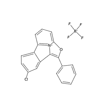 Clc1ccc2c(c1)-c1c(-c3ccccc3)oc3cccc-2[n+]13.F[B-](F)(F)F